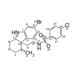 C=C1CCCC2Nc3cc(Br)ccc3C12CCNS(=O)(=O)c1ccc(Cl)cc1